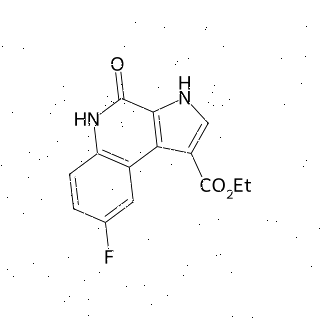 CCOC(=O)c1c[nH]c2c(=O)[nH]c3ccc(F)cc3c12